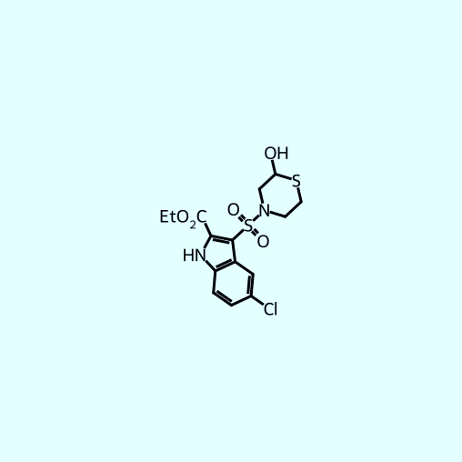 CCOC(=O)c1[nH]c2ccc(Cl)cc2c1S(=O)(=O)N1CCSC(O)C1